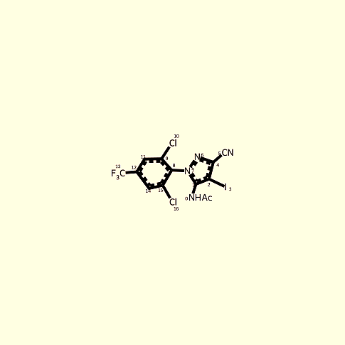 CC(=O)Nc1c(I)c(C#N)nn1-c1c(Cl)cc(C(F)(F)F)cc1Cl